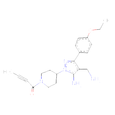 CC#CC(=O)N1CCC(n2nc(-c3ccc(OCC(F)(F)F)cc3)c(CN)c2N)CC1